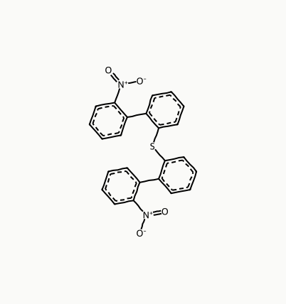 O=[N+]([O-])c1ccccc1-c1ccccc1Sc1ccccc1-c1ccccc1[N+](=O)[O-]